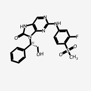 CS(=O)(=O)c1ccc(Nc2ncc3[nH]c(=O)n([C@H](CO)c4ccccc4)c3n2)cc1F